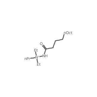 CCCCCCCCCCCC(=O)N[N+](CC)(CC)CCC